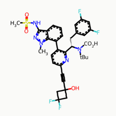 Cn1nc(NS(C)(=O)=O)c2cccc(-c3ccc(C#CC4(O)CC(F)(F)C4)nc3[C@H](Cc3cc(F)cc(F)c3)N(C(=O)O)C(C)(C)C)c21